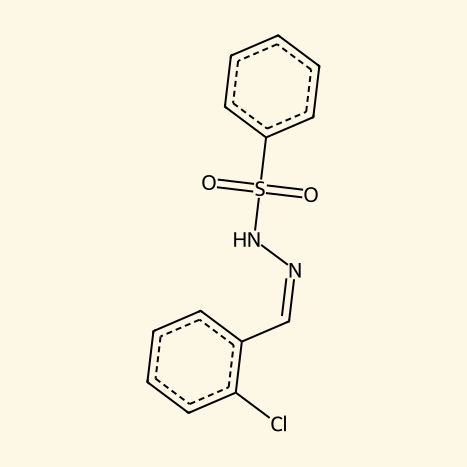 O=S(=O)(N/N=C\c1ccccc1Cl)c1ccccc1